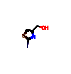 OCc1csc(I)n1